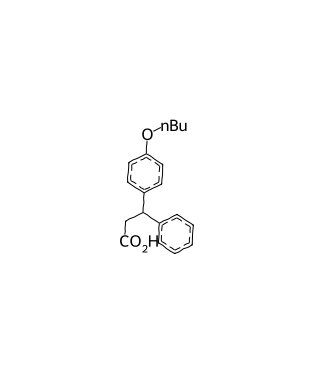 CCCCOc1ccc(C(CC(=O)O)c2ccccc2)cc1